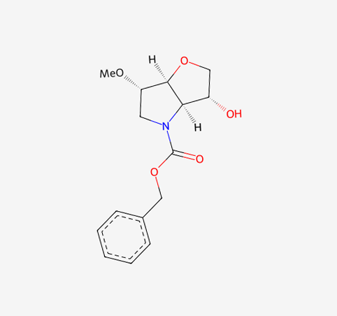 CO[C@H]1CN(C(=O)OCc2ccccc2)[C@H]2[C@@H]1OC[C@@H]2O